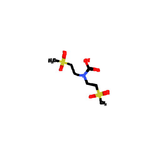 CS(=O)(=O)CCN(CCS(C)(=O)=O)C(=O)O